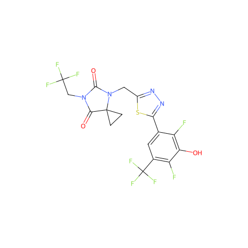 O=C1N(CC(F)(F)F)C(=O)C2(CC2)N1Cc1nnc(-c2cc(C(F)(F)F)c(F)c(O)c2F)s1